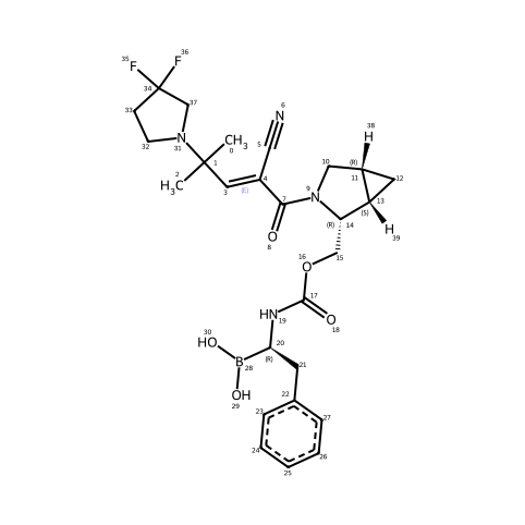 CC(C)(/C=C(\C#N)C(=O)N1C[C@@H]2C[C@@H]2[C@@H]1COC(=O)N[C@@H](Cc1ccccc1)B(O)O)N1CCC(F)(F)C1